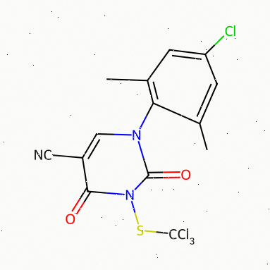 Cc1cc(Cl)cc(C)c1-n1cc(C#N)c(=O)n(SC(Cl)(Cl)Cl)c1=O